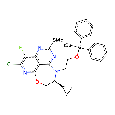 CSc1nc2c3c(nc(Cl)c(F)c3n1)OC[C@H](C1CC1)N2CCO[Si](c1ccccc1)(c1ccccc1)C(C)(C)C